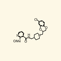 COc1ncccc1C(=O)NCC1CCN(CC2COc3ccc(Cl)cc3O2)CC1